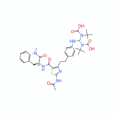 CC(=O)Nc1nc(CCc2ccc(NC(N(C(=O)O)C(C)(C)C)N(C(=O)O)C(C)(C)C)cc2)c(C(=O)N[C@@H](Cc2ccccc2)C(=O)N(C)C)s1